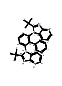 CC(C)(C)c1nc2ncccc2n1-c1cccc(-n2c(C(C)(C)C)nc3ncccc32)c1-c1ccccc1